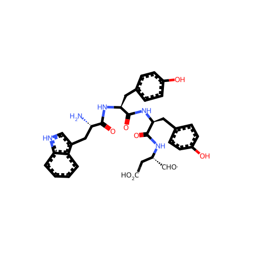 N[C@@H](Cc1c[nH]c2ccccc12)C(=O)N[C@@H](Cc1ccc(O)cc1)C(=O)N[C@@H](Cc1ccc(O)cc1)C(=O)N[C@H]([C]=O)CC(=O)O